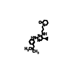 CN(C)Cc1cccc(Nc2ncc(C3CC3)c(NCCCN3CCCCC3=O)n2)c1